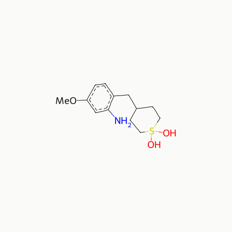 COc1ccc(CC2CCS(O)(O)CC2)c(N)c1